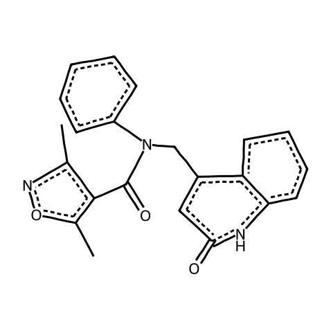 Cc1noc(C)c1C(=O)N(Cc1cc(=O)[nH]c2ccccc12)c1ccccc1